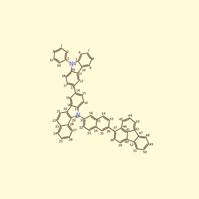 c1ccc(-n2c3ccccc3c3cc(-c4ccc5c(c4)c4ccc6ccccc6c4n5-c4ccc5cc(-c6ccc7c8c(cccc68)-c6ccccc6-7)ccc5c4)ccc32)cc1